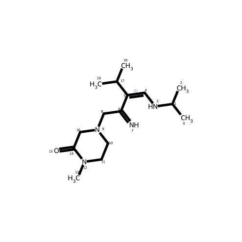 CC(C)N/C=C(\C(=N)CN1CCN(C)C(=O)C1)C(C)C